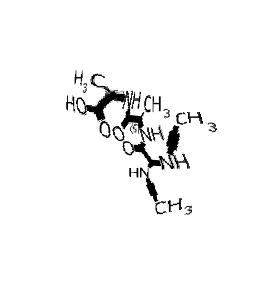 CC#CNC(NC#CC)C(=O)N[C@@H](C)C(=O)N[C@@H](C)C(=O)O